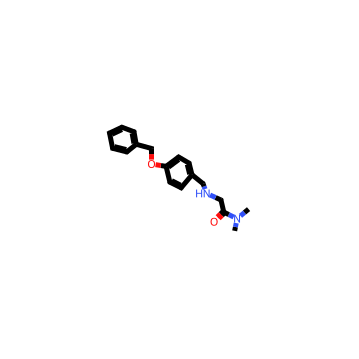 CN(C)C(=O)CNCc1ccc(OCc2ccccc2)cc1